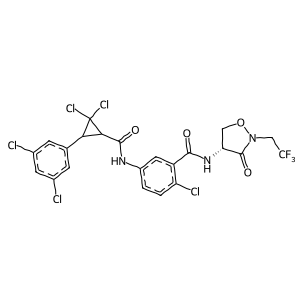 O=C(N[C@@H]1CON(CC(F)(F)F)C1=O)c1cc(NC(=O)C2C(c3cc(Cl)cc(Cl)c3)C2(Cl)Cl)ccc1Cl